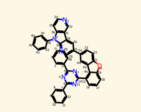 c1ccc(-c2nc(-c3ccccc3)nc(-c3cccc4oc5ccc(-c6cnc7c(c6)c6cnccc6n7-c6ccccc6)cc5c34)n2)cc1